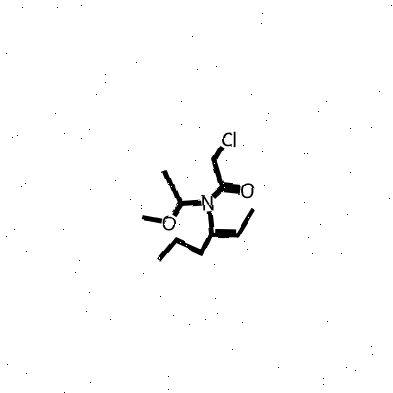 C/C=C(/CCC)N(C(=O)CCl)C(C)OC